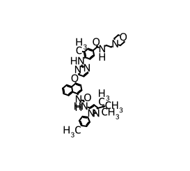 Cc1ccc(-n2nc(C(C)(C)C)cc2NC(=O)Nc2ccc(Oc3ccnc(Nc4ccc(C(=O)NCCN5CCOCC5)cc4C)n3)c3ccccc23)cc1